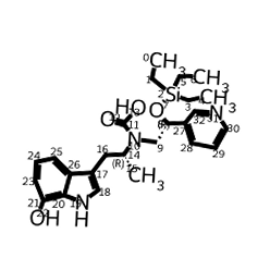 CC[Si](CC)(CC)O[C@@H](CN(C(=O)O)[C@H](C)Cc1c[nH]c2c(O)cccc12)c1cccnc1